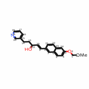 COCOc1ccc2cc(C=CC(O)CCc3cccnc3)ccc2c1